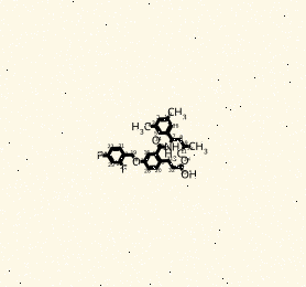 Cc1cc(C)cc(C(CC(C)C)NC(=O)c2cc(OCc3ccc(F)cc3F)ccc2CCC(=O)O)c1